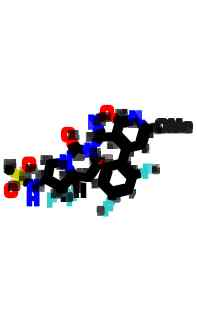 COc1cc(-c2c(F)cc(F)cc2F)c2c(N3CC[C@H]4N(C[C@@H](NS(C)(=O)=O)C4(F)F)C3=O)noc2n1